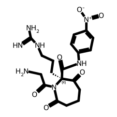 N=C(N)NCCC[C@]1(C(=O)Nc2ccc([N+](=O)[O-])cc2)C(=O)CCCC(=O)N1C(=O)CN